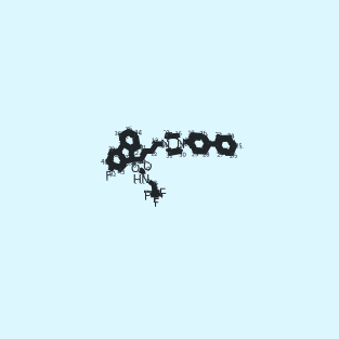 O=C(NCC(F)(F)F)OC1(CCCCN2CCN(c3ccc(-c4ccccc4)cc3)CC2)c2ccccc2-c2ccc(F)cc21